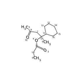 C[CH]C(=O)OC(C)(CC(C)=O)C1CCCCC1